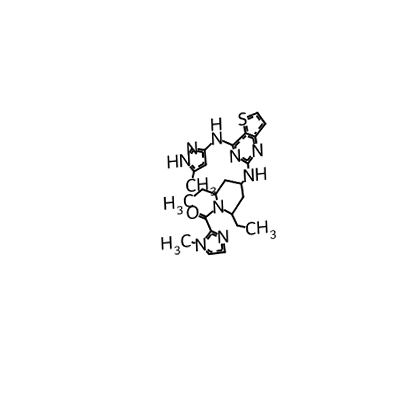 CCC1CC(Nc2nc(Nc3cc(C)[nH]n3)c3sccc3n2)CC(CC)N1C(=O)c1nccn1C